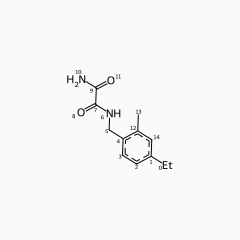 CCc1ccc(CNC(=O)C(N)=O)c(C)c1